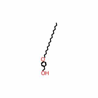 CCCCCCCCCCCCCCCCCCOc1ccc(CCO)cc1